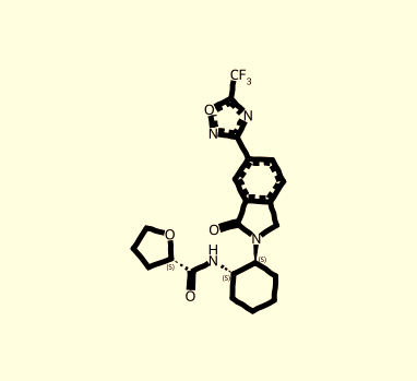 O=C(N[C@H]1CCCC[C@@H]1N1Cc2ccc(-c3noc(C(F)(F)F)n3)cc2C1=O)[C@@H]1CCCO1